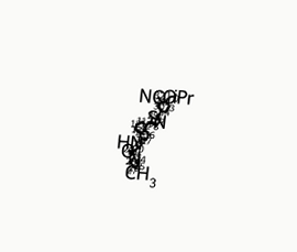 CC(C)Oc1ccc(-c2ncc(-c3cccc4c3CC[C@H]4NCC(=O)N3CC[C@H](C)C3)s2)cc1C#N